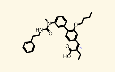 CCCCOc1cc(/C=C(/CC)C(=O)O)ccc1-c1cccc(N(C)C(=O)NCCc2ccccc2)c1